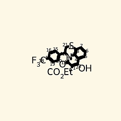 CCOC(=O)c1c(O)c2cccc3c2n(c1=O)C(c1ccc(C(F)(F)F)cc1)CS3